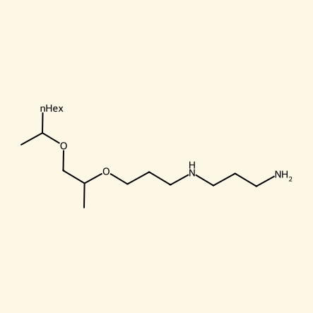 CCCCCCC(C)OCC(C)OCCCNCCCN